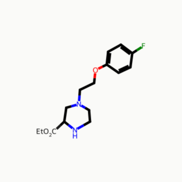 CCOC(=O)C1CN(CCOc2ccc(F)cc2)CCN1